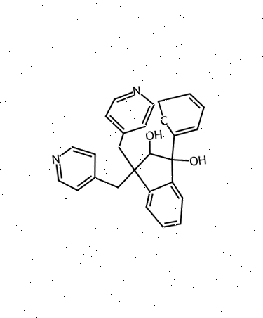 OC1C(Cc2ccncc2)(Cc2ccncc2)c2ccccc2C1(O)C1=CC=CCC1